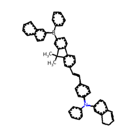 CC1(C)c2cc(/C=C/c3ccc(N(c4ccccc4)c4ccc5c(c4)CCC=C5)cc3)ccc2-c2ccc(B(c3ccccc3)c3ccc4ccccc4c3)cc21